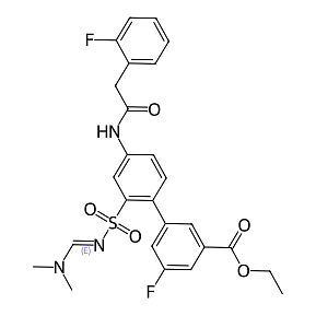 CCOC(=O)c1cc(F)cc(-c2ccc(NC(=O)Cc3ccccc3F)cc2S(=O)(=O)/N=C/N(C)C)c1